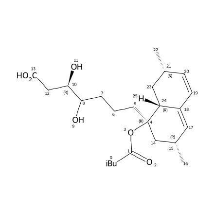 CCC(C)C(=O)O[C@]1(CCCC(O)[C@H](O)CC(=O)O)C[C@@H](C)C=C2C=C[C@@H](C)C[C@H]21